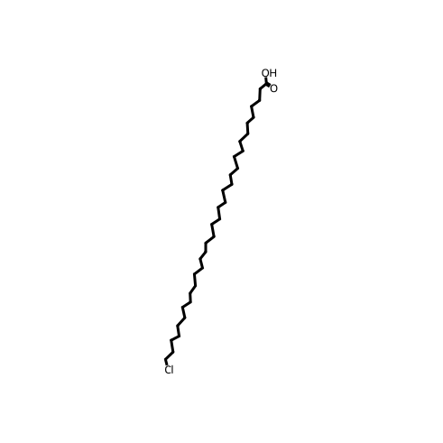 O=C(O)CCCCCCCCCCCCCCCCCCCCCCCCCCCCCCCCCCl